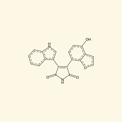 O=C1NC(=O)C(c2ccc(O)c3ccoc23)=C1c1c[nH]c2ccccc12